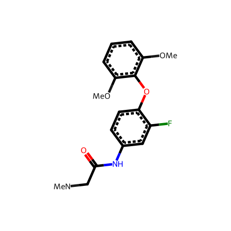 CNCC(=O)Nc1ccc(Oc2c(OC)cccc2OC)c(F)c1